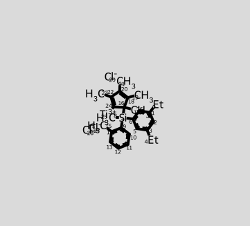 CCc1cc(CC)cc([Si](C)(c2ccccc2C)C2(C)C(C)=C(C)C(C)=[C]2[Ti+3])c1.[Cl-].[Cl-].[Cl-]